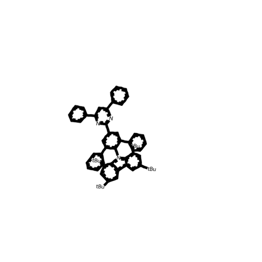 CC(C)(C)c1cc(C(C)(C)C)c2c(c1)c1cc(C(C)(C)C)cc(C(C)(C)C)c1n2-c1c(-c2ccccc2)cc(-c2nc(-c3ccccc3)cc(-c3ccccc3)n2)cc1-c1ccccc1